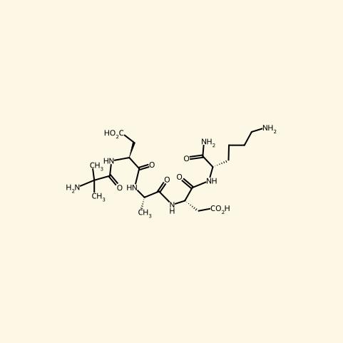 C[C@H](NC(=O)[C@H](CC(=O)O)NC(=O)C(C)(C)N)C(=O)N[C@@H](CC(=O)O)C(=O)N[C@@H](CCCCN)C(N)=O